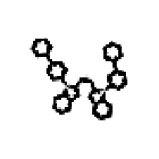 C(=C/c1cc2ccccc2n1-c1cccc(-c2ccccc2)c1)/c1cc2ccccc2n1-c1ccc(-c2ccccc2)cc1